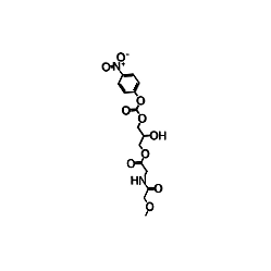 COCC(=O)NCC(=O)OCC(O)COC(=O)Oc1ccc([N+](=O)[O-])cc1